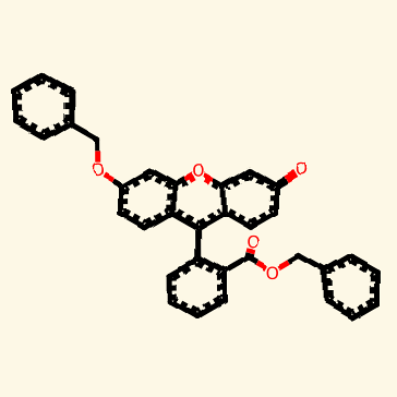 O=C(OCc1ccccc1)c1ccccc1-c1c2ccc(=O)cc-2oc2cc(OCc3ccccc3)ccc12